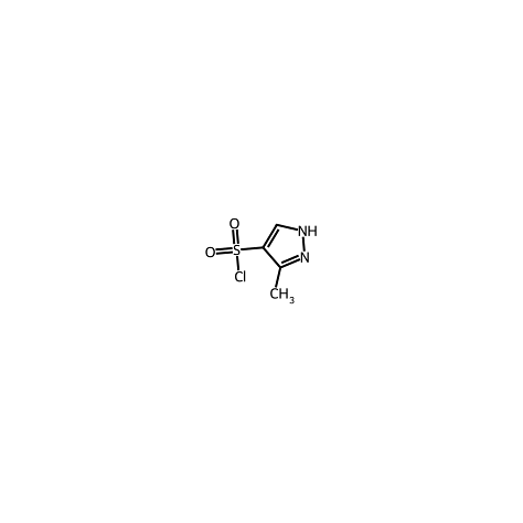 Cc1n[nH]cc1S(=O)(=O)Cl